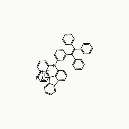 CC1(C)c2ccccc2-c2cccc(N(c3cccc(C(=C(c4ccccc4)c4ccccc4)c4ccccc4)c3)c3cccc4ccccc34)c21